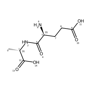 C[C@H](NC(=O)[C@@H](N)CCC(=O)O)C(=O)O